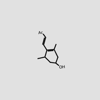 CC(=O)/C=C/C1=C(C)CC(O)CC1C